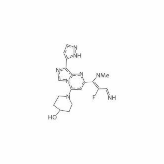 CN/C(=C(/F)C=N)c1cc(N2CCC(O)CC2)n2cnc(-c3ccn[nH]3)c2n1